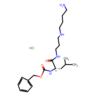 CC(C)C[C@H](NC(=O)OCc1ccccc1)C(=O)NCCCNCCCCN.Cl